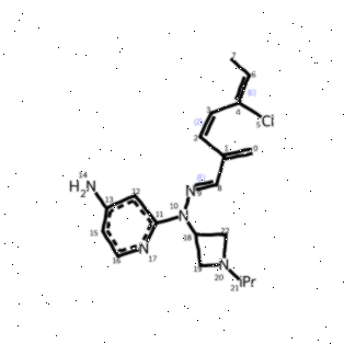 C=C(/C=C\C(Cl)=C/C)/C=N/N(c1cc(N)ccn1)C1CN(C(C)C)C1